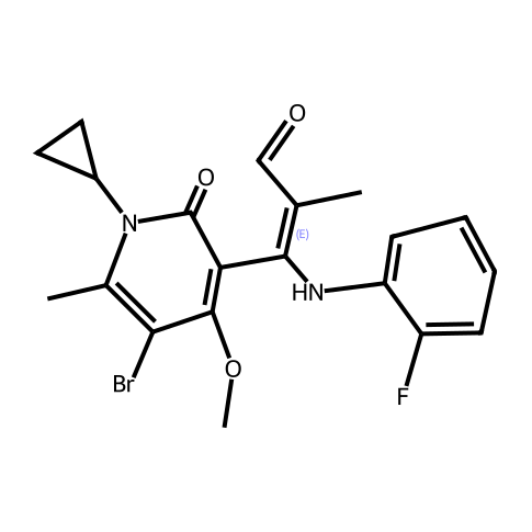 COc1c(Br)c(C)n(C2CC2)c(=O)c1/C(Nc1ccccc1F)=C(/C)C=O